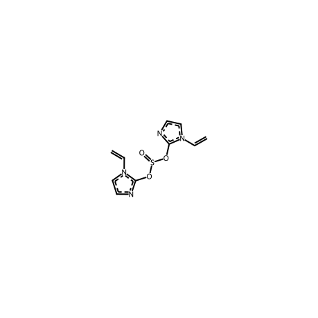 C=Cn1ccnc1OS(=O)Oc1nccn1C=C